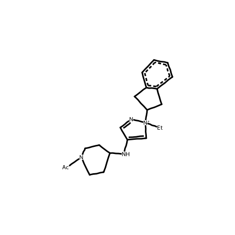 CC[N+]1(C2Cc3ccccc3C2)C=C(NC2CCN(C(C)=O)CC2)C=N1